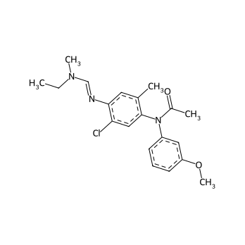 CCN(C)C=Nc1cc(C)c(N(C(C)=O)c2cccc(OC)c2)cc1Cl